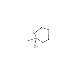 CC(C)C1(C)[C]CCCC1